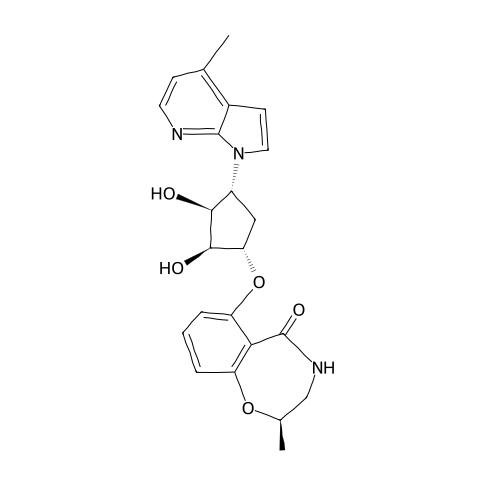 Cc1ccnc2c1ccn2[C@@H]1C[C@H](Oc2cccc3c2C(=O)NC[C@@H](C)O3)[C@@H](O)[C@H]1O